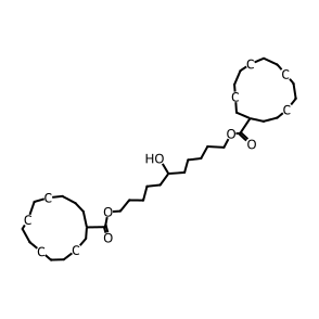 O=C(OCCCCCC(O)CCCCCOC(=O)C1CCCCCCCCCCCCC1)C1CCCCCCCCCCCCC1